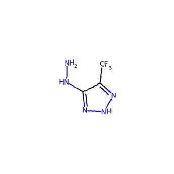 NNc1n[nH]nc1C(F)(F)F